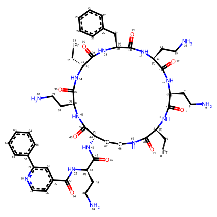 CC(C)C[C@@H]1NC(=O)[C@H](CCN)NC(=O)[C@H](CCN)NC(=O)[C@H](Cc2ccccc2)NC(=O)[C@@H](CC(C)C)NC(=O)[C@H](CCN)NC(=O)[C@@H](NC(=O)[C@@H](CCN)NC(=O)c2ccnc(-c3ccccc3)c2)CCNC1=O